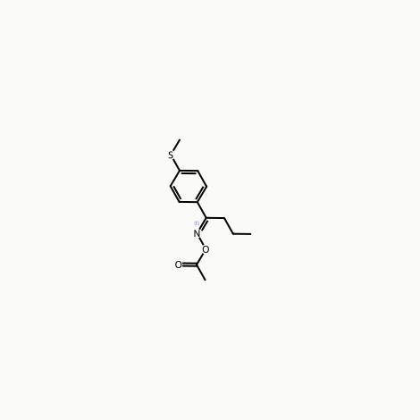 CCC/C(=N\OC(C)=O)c1ccc(SC)cc1